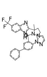 CC1(c2nc3cc(C(F)(F)F)ccc3[nH]2)CCCN1C(=O)c1cc(-c2ccccc2)ccc1-n1nccn1